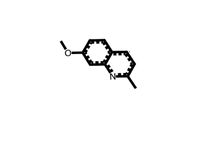 COc1ccc2[c]cc(C)nc2c1